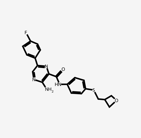 Nc1ncc(-c2ccc(F)cc2)nc1C(=O)Nc1ccc(SCC2COC2)cc1